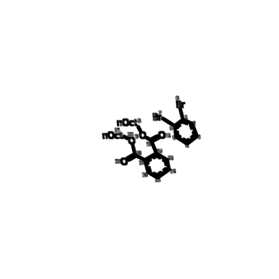 Brc1ccccc1Br.CCCCCCCCOC(=O)c1ccccc1C(=O)OCCCCCCCC